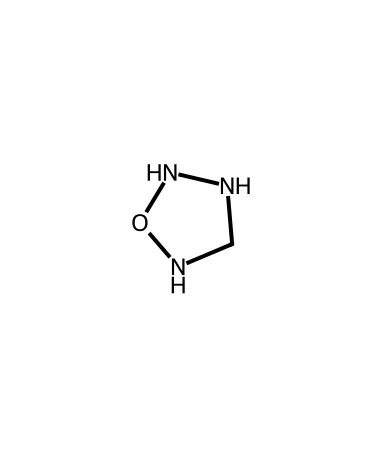 C1NNON1